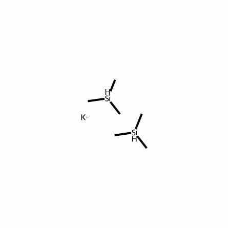 C[SiH](C)C.C[SiH](C)C.[K]